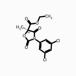 CCOC(=O)[C@]1(C)OC(=O)N(c2cc(Cl)cc(Cl)c2)C1=O